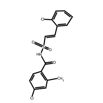 Cc1cc(Cl)ccc1C(=O)NS(=O)(=O)C=Cc1ccccc1Cl